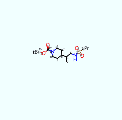 CC(CNS(=O)(=O)C(C)C)C1CCN(C(=O)OC(C)(C)C)CC1